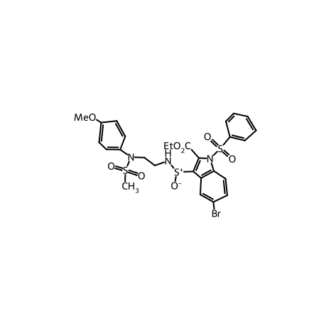 CCOC(=O)c1c([S+]([O-])NCCN(c2ccc(OC)cc2)S(C)(=O)=O)c2cc(Br)ccc2n1S(=O)(=O)c1ccccc1